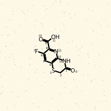 O=C1CSc2cc(F)c(C(=O)O)nc2N1